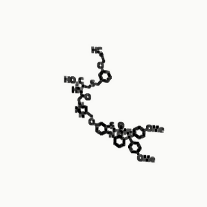 C#CCOc1cccc(CSCC(NC(=O)Cn2cc(COc3ccc4nc(S(=O)(=O)NC(c5ccccc5)(c5ccc(OC)cc5)c5ccc(OC)cc5)sc4c3)nn2)C(=O)O)c1